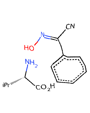 CC(C)[C@H](N)C(=O)O.N#C/C(=N/O)c1ccccc1